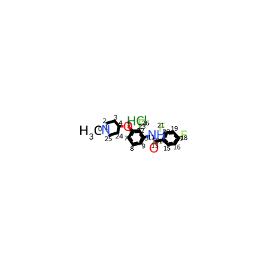 CN1CCC(Oc2cccc(NC(=O)c3ccc(F)cc3F)c2F)CC1.Cl